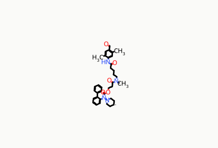 Cc1cc(NC(=O)CCCCN(C)C(=O)CCOC(=O)N(c2ccccc2-c2ccccc2)N2CC[CH]CC2)c(C)cc1C=O